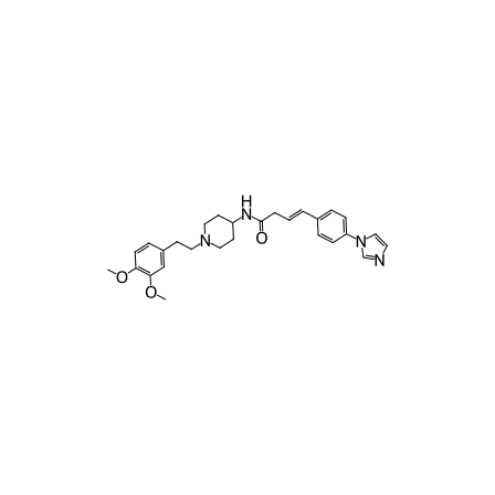 COc1ccc(CCN2CCC(NC(=O)CC=Cc3ccc(-n4ccnc4)cc3)CC2)cc1OC